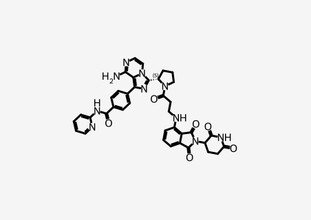 Nc1nccn2c([C@@H]3CCCN3C(=O)CCNc3cccc4c3C(=O)N(C3CCC(=O)NC3=O)C4=O)nc(-c3ccc(C(=O)Nc4ccccn4)cc3)c12